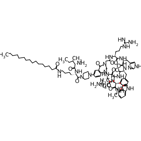 CCCCCCCCCCCCCCCC(=O)NCCCC[C@H](NC(=O)[C@@H](N)[C@@H](C)CC)C(=O)N1CCN(c2ccc3ncn(CC(=O)N[C@@H](CCCNC(=N)N)C(=O)N[C@@H](Cc4c[nH]cn4)C(=O)N[C@@H](Cc4ccc(O)cc4)C(=O)N[C@@H](CC(C)C)C(=O)N[C@@H](CC(N)=O)C(=O)N[C@@H](Cc4c[nH]c5ccccc45)C(=O)NC)c(=O)c3c2)CC1